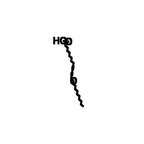 CCCCCCCCCCOCC#CC#CCCCCCCCCC(=O)O